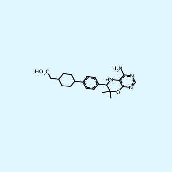 CC1(C)Oc2ncnc(N)c2NC1c1ccc(C2CCC(CC(=O)O)CC2)cc1